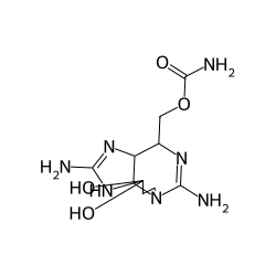 NC(=O)OCC1N=C(N)N2CCC(O)(O)C23NC(N)=NC13